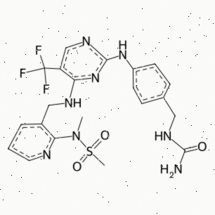 CN(c1ncccc1CNc1nc(Nc2ccc(CNC(N)=O)cc2)ncc1C(F)(F)F)S(C)(=O)=O